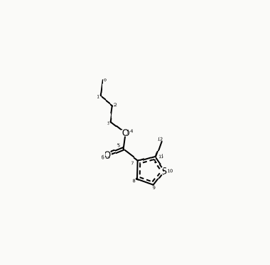 CCCCOC(=O)c1ccsc1C